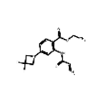 C=CC(=O)Nc1cc(N2CC(F)(F)C2)ccc1C(=O)OCC